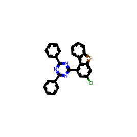 Clc1cc(-c2nc(-c3ccccc3)nc(-c3ccccc3)n2)c2c(c1)sc1ccccc12